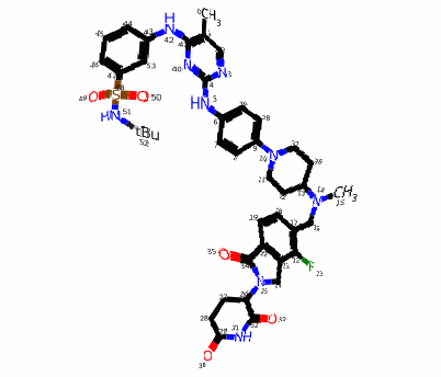 Cc1cnc(Nc2ccc(N3CCC(N(C)Cc4ccc5c(c4F)CN(C4CCC(=O)NC4=O)C5=O)CC3)cc2)nc1Nc1cccc(S(=O)(=O)NC(C)(C)C)c1